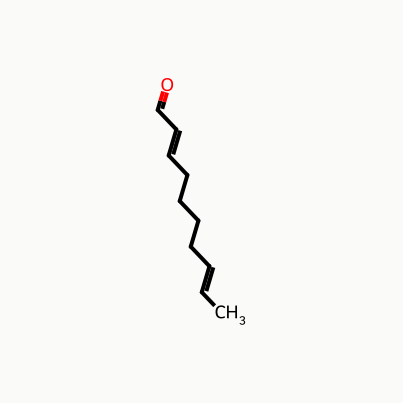 C/C=C/CCCC/C=C/C=O